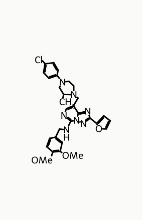 COc1ccc(CNc2ncc(CN3CCN(c4ccc(Cl)cc4)CC3C)c3nc(-c4ccco4)nn23)cc1OC